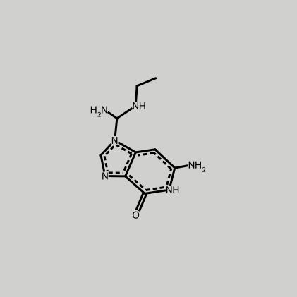 CCNC(N)n1cnc2c(=O)[nH]c(N)cc21